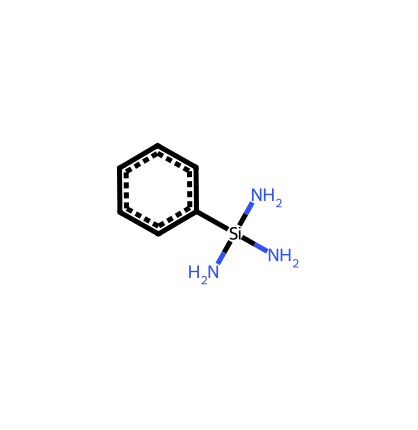 N[Si](N)(N)c1ccccc1